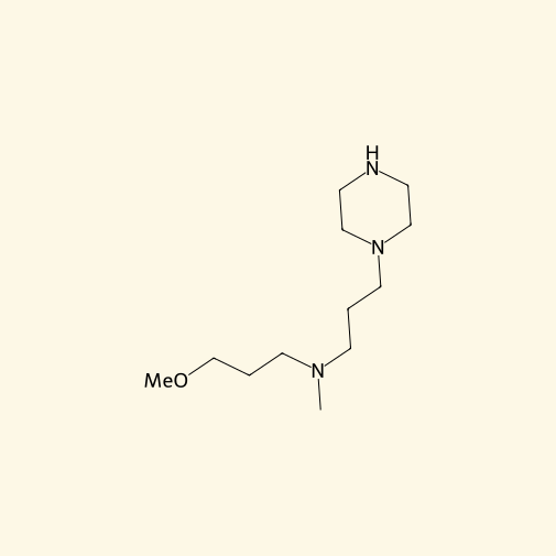 COCCCN(C)CCCN1CCNCC1